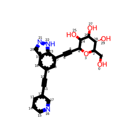 OCC1OC(C#Cc2cc(C#Cc3cccnc3)cc3cn[nH]c23)C(O)C(O)[C@@H]1O